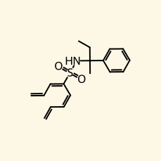 C=C/C=C\C(=C/C=C)S(=O)(=O)NC(C)(CC)c1ccccc1